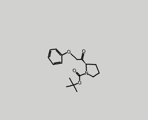 CC(C)(C)OC(=O)N1CCC[C@@H]1C(=O)COc1ccccc1